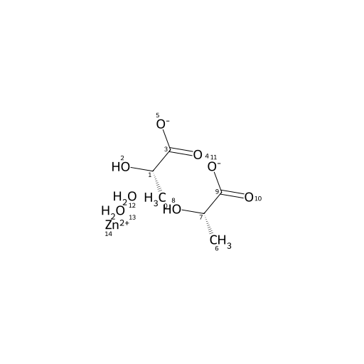 C[C@H](O)C(=O)[O-].C[C@H](O)C(=O)[O-].O.O.[Zn+2]